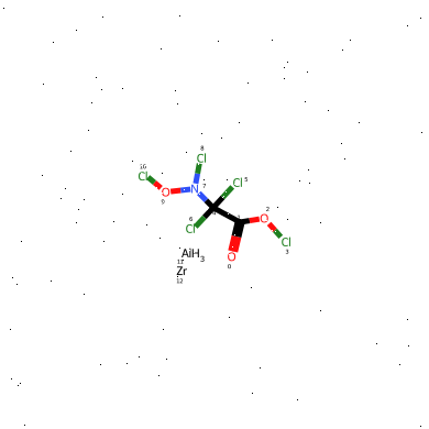 O=C(OCl)C(Cl)(Cl)N(Cl)OCl.[AlH3].[Zr]